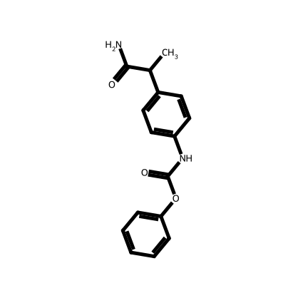 CC(C(N)=O)c1ccc(NC(=O)Oc2ccccc2)cc1